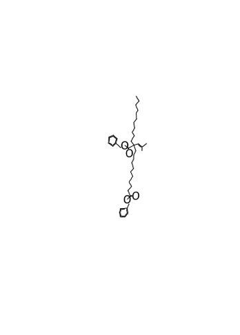 CCCCCCCCCCCC(C=C(C)C)(CCCCCCCCCCC(=O)OCc1ccccc1)C(=O)OCc1ccccc1